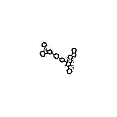 c1ccc(-n2c3ccccc3c3cc(-c4ccc(-c5ccc(-c6cc7c8ccccc8sc7c7nc8c9ccc%10ccccc%10c9ccc8n67)cc5)cc4)ccc32)cc1